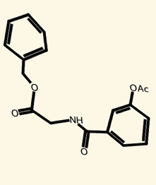 CC(=O)Oc1cccc(C(=O)NCC(=O)OCc2ccccc2)c1